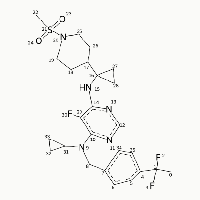 CC(F)(F)c1ccc(CN(c2ncnc(NC3(C4CCN(S(C)(=O)=O)CC4)CC3)c2F)C2CC2)cc1